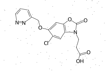 O=C(O)CCn1c(=O)oc2cc(OCc3cccnn3)c(Cl)cc21